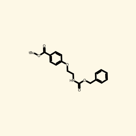 CC(C)(C)OC(=O)c1ccc(OCCNC(=O)OCc2ccccc2)cc1